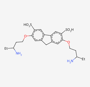 CCC(N)CCOc1cc2c(cc1S(=O)(=O)O)-c1cc(S(=O)(=O)O)c(OCCC(N)CC)cc1C2